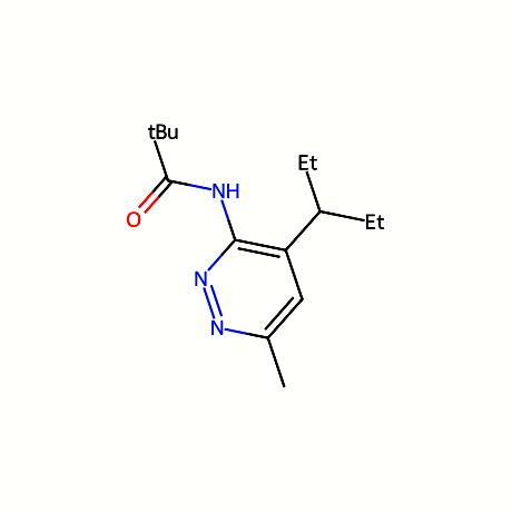 CCC(CC)c1cc(C)nnc1NC(=O)C(C)(C)C